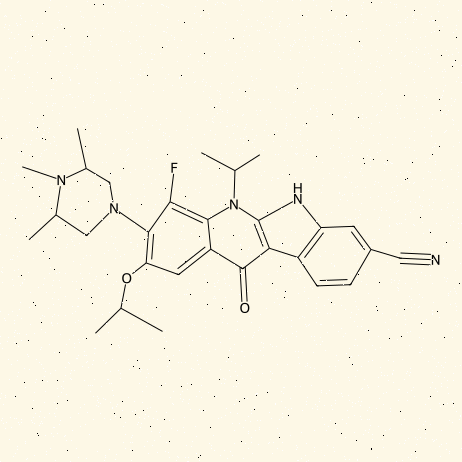 CC(C)Oc1cc2c(=O)c3c4ccc(C#N)cc4[nH]c3n(C(C)C)c2c(F)c1N1CC(C)N(C)C(C)C1